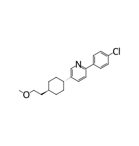 COCC[C@H]1CC[C@H](c2ccc(-c3ccc(Cl)cc3)nc2)CC1